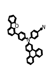 N#Cc1ccc(N(c2ccc(-c3cccc4c3oc3ccccc34)cc2)c2ccc3c4ccccc4c4ccccc4c3c2)cc1